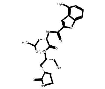 Cc1cccc2[nH]c(C(=O)N[C@@H](CC(C)C)C(=O)N[C@H](CO)C[C@@H]3CCNC3=O)cc12